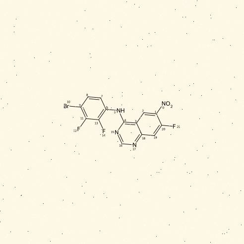 O=[N+]([O-])c1cc2c(Nc3ccc(Br)c(F)c3F)ncnc2cc1F